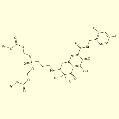 CC(C)OC(=O)OCOP(=O)(CCCNC1Cn2cc(C(=O)NCc3ccc(F)cc3F)c(=O)c(O)c2C(=O)C1(C)C)OCOC(=O)OC(C)C